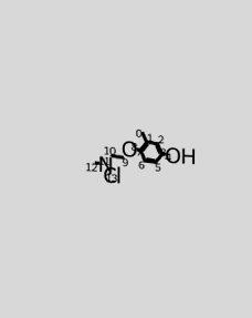 Cc1cc(O)ccc1OCCN(C)Cl